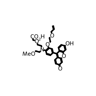 C=CCOCCOc1cc(-c2c3ccc(=O)cc-3oc3cc(O)ccc23)ccc1N(CCOC)CCOCC(=O)O